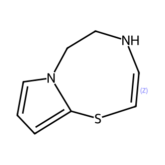 C1=C\Sc2cccn2CCN/1